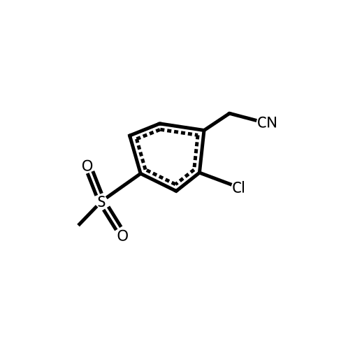 CS(=O)(=O)c1ccc(CC#N)c(Cl)c1